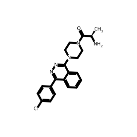 C[C@@H](N)C(=O)N1CCN(c2nnc(-c3ccc(Cl)cc3)c3ccccc23)CC1